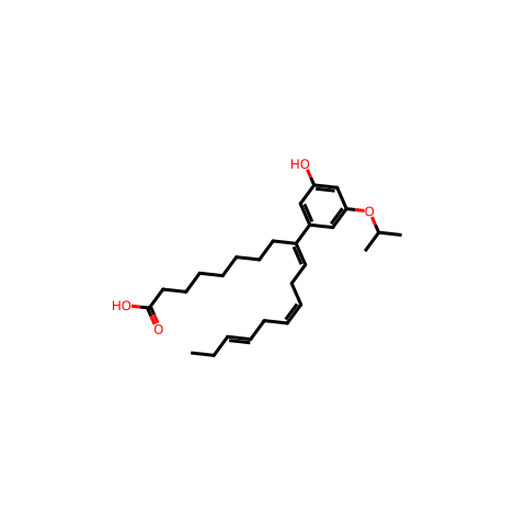 CCC=CC/C=C\CC=C(CCCCCCCC(=O)O)c1cc(O)cc(OC(C)C)c1